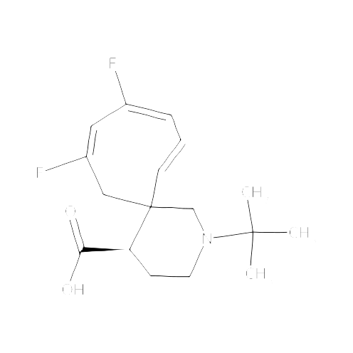 CC(C)(C)N1CC[C@@H](C(=O)O)C2(/C=C/C=C(F)\C=C(\F)C2)C1